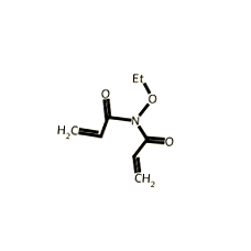 C=CC(=O)N(OCC)C(=O)C=C